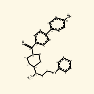 CN(CCOc1ccccc1)C1CCN(C(=O)c2ccc(-c3ccc(O)cc3)cc2)CC1